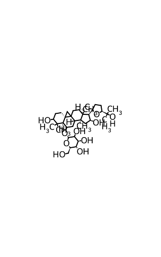 CC(C)(O)[C@@H]1CC[C@](C)([C@H]2[C@@H](O)C[C@@]3(C)[C@@H]4CC(O[C@@H]5O[C@H](CO)[C@@H](O)[C@H](O)C5O)[C@H]5C(C)(C)C(O)CC[C@@]56CC46CC[C@]23C)O1